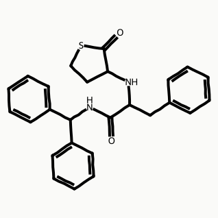 O=C(NC(c1ccccc1)c1ccccc1)C(Cc1ccccc1)NC1CCSC1=O